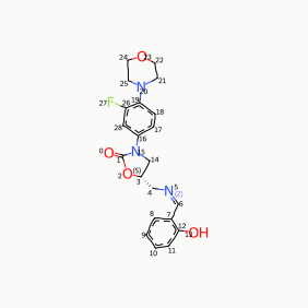 O=C1O[C@@H](C/N=C\c2ccccc2O)CN1c1ccc(N2CCOCC2)c(F)c1